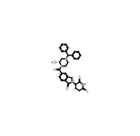 C[C@@H]1CN(C(c2ccccc2)c2ccccc2)CCN1C(=O)c1ccc2c(c1)CN(C1CCC(=O)NC1=O)C2=O